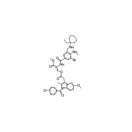 CCC1(NCc2cc(C(=O)N[C@@H](COC(=O)Cc3c(C)n(C(=O)c4ccc(Cl)cc4)c4ccc(OC)cc34)C(=O)OC)cc(Br)c2N)CCCCC1